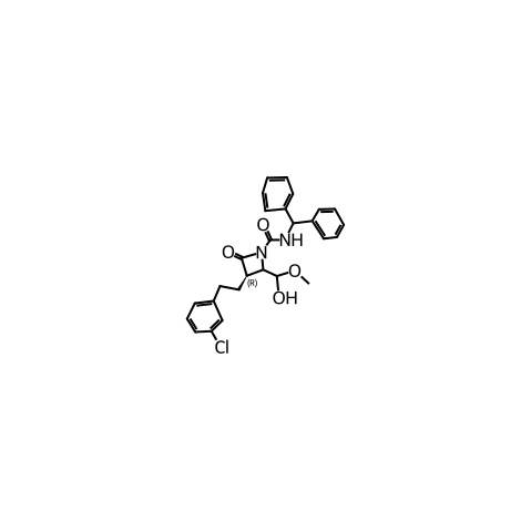 COC(O)C1[C@@H](CCc2cccc(Cl)c2)C(=O)N1C(=O)NC(c1ccccc1)c1ccccc1